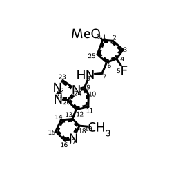 COc1ccc(F)c(CNc2ccc(-c3cccnc3C)c3nncn23)c1